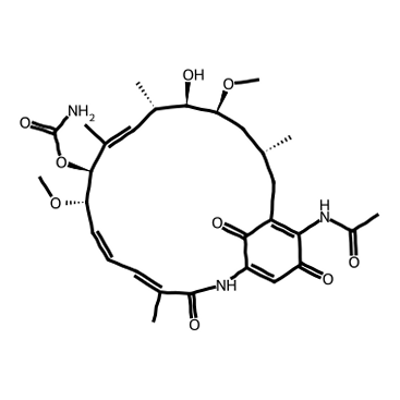 CO[C@H]1/C=C\C=C(/C)C(=O)NC2=CC(=O)C(NC(C)=O)=C(C[C@@H](C)C[C@H](OC)[C@H](O)[C@@H](C)/C=C(\C)[C@@H]1OC(N)=O)C2=O